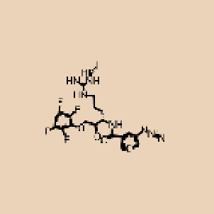 [N-]=[N+]=Nc1cccc(C(=O)N[C@@H](CCCNC(=N)NPI)C(=O)COc2c(F)c(F)cc(F)c2F)c1